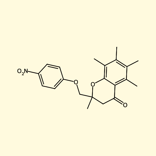 Cc1c(C)c(C)c2c(c1C)OC(C)(COc1ccc([N+](=O)[O-])cc1)CC2=O